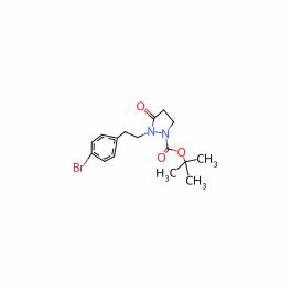 CC(C)(C)OC(=O)N1CCC(=O)N1CCc1ccc(Br)cc1